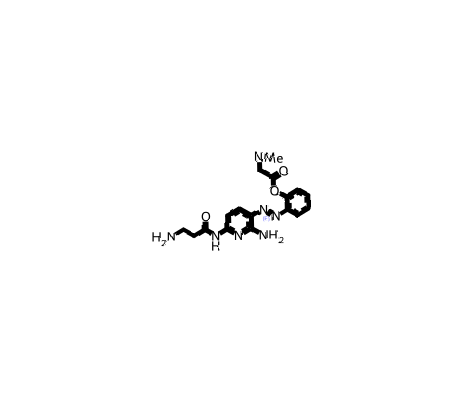 CNCC(=O)Oc1ccccc1/N=N/c1ccc(NC(=O)CCN)nc1N